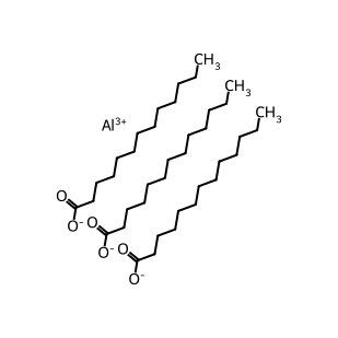 CCCCCCCCCCCCC(=O)[O-].CCCCCCCCCCCCC(=O)[O-].CCCCCCCCCCCCC(=O)[O-].[Al+3]